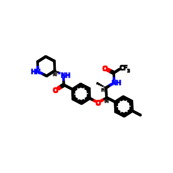 Cc1ccc([C@@H](Oc2ccc(C(=O)N[C@H]3CCCNC3)cc2)[C@H](C)NC(=O)C(F)(F)F)cc1